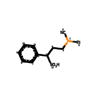 CCP(C#N)CCC(c1ccccc1)S(=O)(=O)O